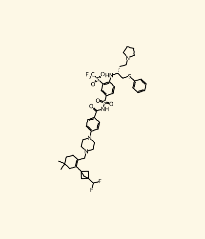 CC1(C)CCC(CN2CCN(c3ccc(C(=O)NS(=O)(=O)c4ccc(N[C@H](CCN5CCCC5)CSc5ccccc5)c(S(=O)(=O)C(F)(F)F)c4)cc3)CC2)=C(C23CC(C(F)F)(C2)C3)C1